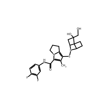 Cc1c(SN2C3CCC34C2CC4(O)CO)c2n(c1C(=O)Nc1ccc(F)c(F)c1)CCC2